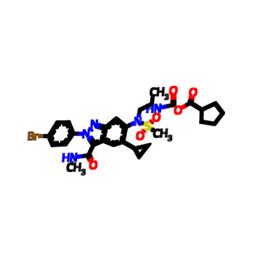 CNC(=O)c1c2cc(C3CC3)c(N(CC(C)NC(=O)OC(=O)C3CCCC3)S(C)(=O)=O)cc2nn1-c1ccc(Br)cc1